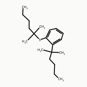 CCCCC(C)(C)Sc1ccccc1C(C)(C)CCCC